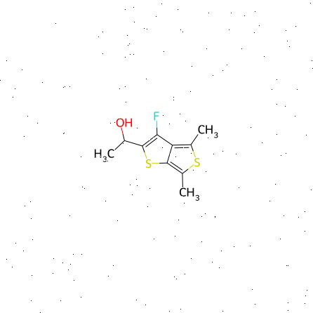 Cc1sc(C)c2c(F)c(C(C)O)sc12